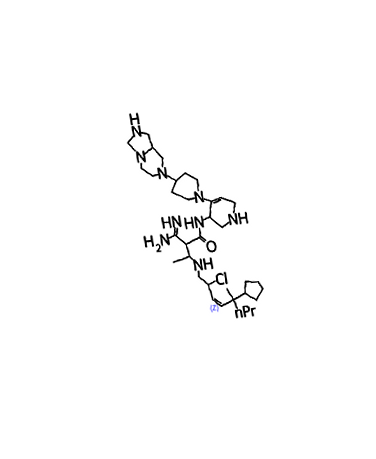 CCCC(C)(/C=C\C(Cl)CNC(C)C(C(=N)N)C(=O)NC1CNCC=C1N1CCC(N2CCN3CNCC3C2)CC1)C1CCCC1